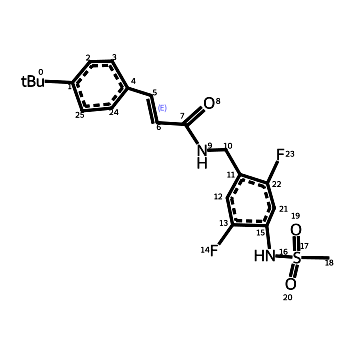 CC(C)(C)c1ccc(/C=C/C(=O)NCc2cc(F)c(NS(C)(=O)=O)cc2F)cc1